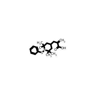 C=C(CC1CC(C)(C)N(Sc2ccccc2)C(C)(C)C1)C(=O)O